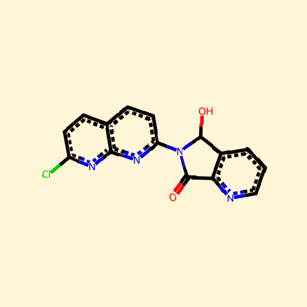 O=C1c2ncccc2C(O)N1c1ccc2ccc(Cl)nc2n1